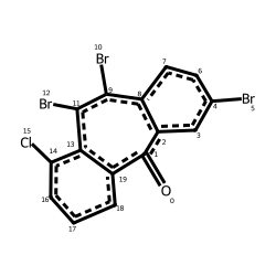 O=c1c2cc(Br)ccc2c(Br)c(Br)c2c(Cl)cccc12